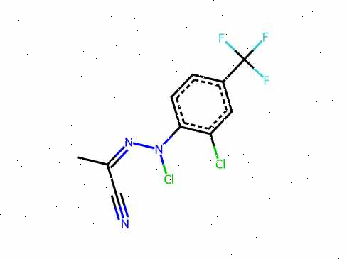 CC(C#N)=NN(Cl)c1ccc(C(F)(F)F)cc1Cl